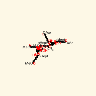 CCCCCCCC(OC(=O)c1ccc(C(=O)OC(C)COCC(COCC(C)OC(=O)c2ccc(C(=O)OC(CCCCCCC)C(O)CCCCCCC(=O)OC)cc2C(=O)OC(CCCCCCC)C(O)CCCCCCC(=O)OC)OCC(C)O)c(C(=O)OC(CCCCCCC)C(O)CCCCCCC(=O)OC)c1)C(O)CCCCCCC(=O)OC